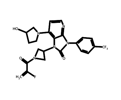 C=C(F)C(=O)N1CC(n2c(=O)n(-c3ccc(C(F)(F)F)cc3)c3nccc(N4CCC(O)C4)c32)C1